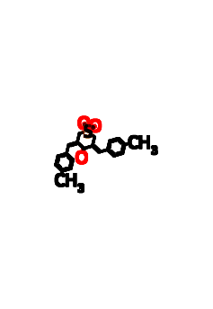 Cc1ccc(/C=C2\CS(=O)(=O)C/C(=C/c3ccc(C)cc3)C2=O)cc1